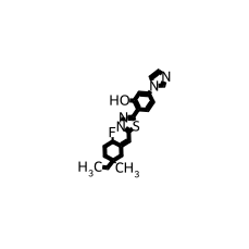 CC[C@@]1(C)CC[C@@H](F)/C(=C\c2nnc(-c3ccc(-n4ccnc4)cc3O)s2)C1